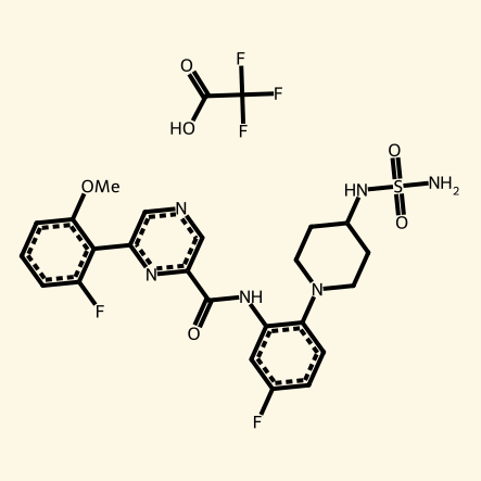 COc1cccc(F)c1-c1cncc(C(=O)Nc2cc(F)ccc2N2CCC(NS(N)(=O)=O)CC2)n1.O=C(O)C(F)(F)F